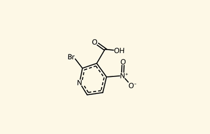 O=C(O)c1c([N+](=O)[O-])ccnc1Br